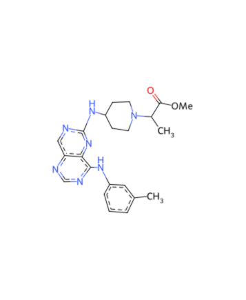 COC(=O)C(C)N1CCC(Nc2ncc3ncnc(Nc4cccc(C)c4)c3n2)CC1